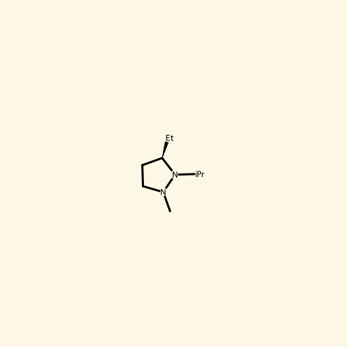 CC[C@@H]1CCN(C)N1C(C)C